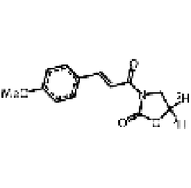 [2H]C1([2H])CN(C(=O)/C=C/c2ccc(OC)cc2)C(=O)O1